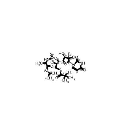 CC(C)OC(=O)C(C)NP(=S)(OCCSC(=O)C(C)(C)C)OC[C@H]1O[C@@H](n2ccc(=O)[nH]c2=O)[C@@](F)(Cl)[C@@H]1O